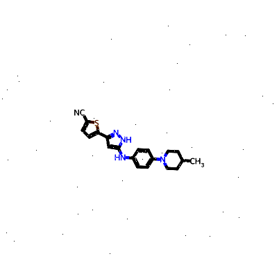 CC1CCN(c2ccc(Nc3cc(-c4ccc(C#N)s4)n[nH]3)cc2)CC1